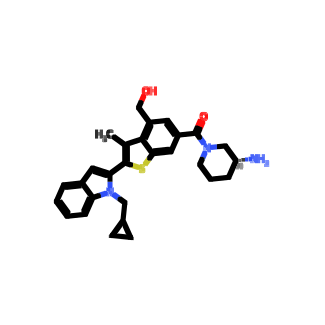 Cc1c(-c2cc3ccccc3n2CC2CC2)sc2cc(C(=O)N3CCC[C@@H](N)C3)cc(CO)c12